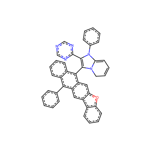 C1=CCN2C(=C1)N(c1ccccc1)C(c1ncncn1)=C2c1c2ccccc2c(-c2ccccc2)c2cc3c(cc12)oc1ccccc13